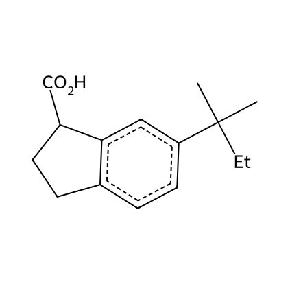 CCC(C)(C)c1ccc2c(c1)C(C(=O)O)CC2